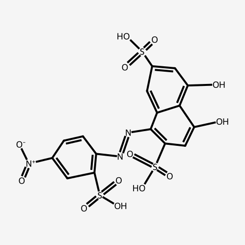 O=[N+]([O-])c1ccc(/N=N/c2c(S(=O)(=O)O)cc(O)c3c(O)cc(S(=O)(=O)O)cc23)c(S(=O)(=O)O)c1